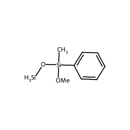 CO[Si](C)(O[SiH3])c1ccccc1